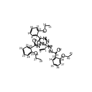 C=C[Si](N=NC(=O)c1ccccc1OCC)(N=NC(=O)c1ccccc1OCC)N=NC(=O)c1ccccc1OCC